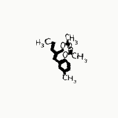 CCCC(=Cc1cccc(C)c1)C(OC(C)=O)OC(C)=O